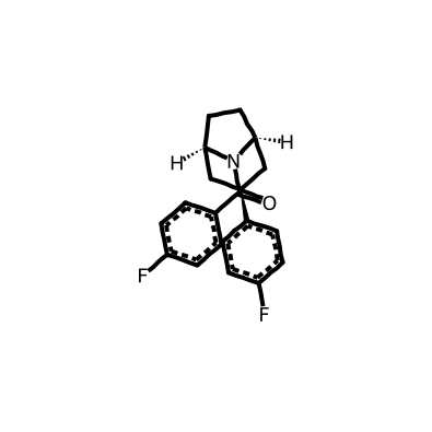 O=C(c1ccc(F)cc1)N1[C@@H]2CC[C@H]1C[C@@H](c1ccc(F)cc1)C2